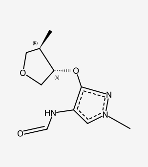 C[C@@H]1COC[C@H]1Oc1nn(C)cc1NC=O